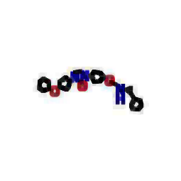 O=c1n(-c2ccc(OCCNC3CC3c3ccccc3)cc2)ccn1-c1ccc(Oc2ccccc2)cc1